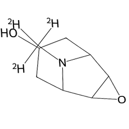 [2H]C([2H])([2H])N1C2CC(O)CC1C1OC12